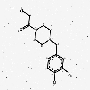 O=C(CCl)N1CCN(Cc2ccc(Cl)c(Cl)c2)CC1